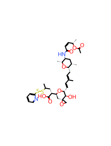 CC(=O)O[C@@H](C)/C=C\C(=O)N[C@@H]1C[C@H](C)[C@H](C/C=C(C)/C=C/[C@H]2O[C@H]([C@@H](CC(C)SSc3ccccn3)C(=O)O)C[C@@]3(CO3)[C@@H]2O)O[C@@H]1C